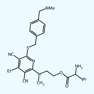 CCc1c(C#N)c(SCc2ccc(CNC)cc2)nc(N(C)CCOC(=O)C(N)C(C)C)c1C#N